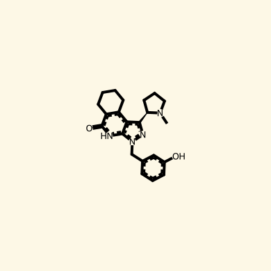 CN1CCC[C@@H]1c1nn(Cc2cccc(O)c2)c2[nH]c(=O)c3c(c12)CCCC3